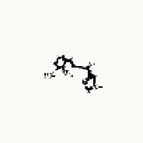 Cc1cccc(CCC(=O)c2c[nH]cn2)c1C